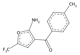 Cc1ccc(C(=O)c2cc(C(F)(F)F)oc2N)cc1